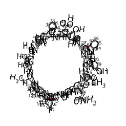 CCCC[C@H]1C(=O)N[C@H](CO)C(=O)N[C@@H](CC(=O)O)C(=O)N[C@@H](C(C)C)C(=O)N(C)[C@@H](Cc2ccccc2)C(=O)N[C@@H](CCC(=O)O)C(=O)N2C[C@H](O)C[C@@H]2C(=O)N[C@@H](Cc2c[nH]c3ccccc23)C(=O)N[C@@H](Cc2ccc(O)cc2)C(=O)N[C@@H](CCOC)C(=O)N[C@H](C(=O)NCC(N)=O)CSCC(=O)N[C@@H](Cc2cc(F)c(F)c(F)c2)C(=O)N(C)C(Cc2ccccc2)C(=O)N1C